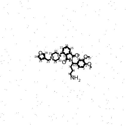 COc1ccc(C(CCCN)N2C(=O)c3cccc(N4CCN(Cc5ccoc5)CC4)c3C2=O)cc1OC